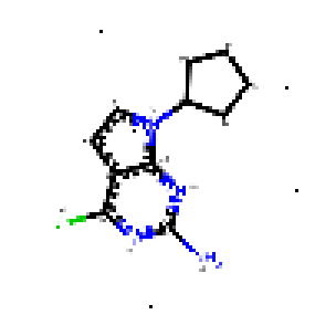 Nc1nc(Cl)c2c[c]n(C3CCCC3)c2n1